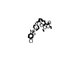 CCOC(=O)C(Cc1ccc(CN2CCCN(c3nc4ccc(Cl)cc4s3)CC2)s1)C(=O)OCC